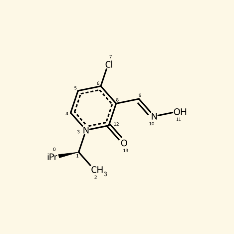 CC(C)[C@H](C)n1ccc(Cl)c(/C=N/O)c1=O